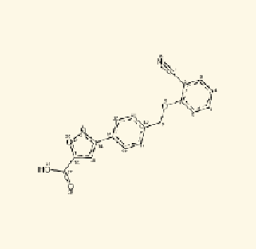 N#Cc1ccccc1OCc1ccc(-c2cc(C(=O)O)on2)cc1